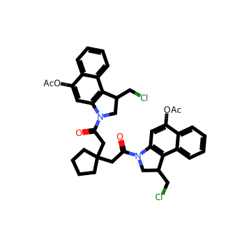 CC(=O)Oc1cc2c(c3ccccc13)C(CCl)CN2C(=O)CC1(CC(=O)N2CC(CCl)c3c2cc(OC(C)=O)c2ccccc32)CCCC1